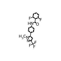 Cn1nc(C(F)(F)F)cc1-c1ccc(NC(=O)c2c(F)cccc2F)cc1